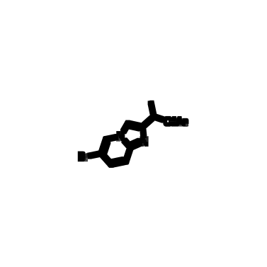 COC(C)c1cn2cc(Br)ccc2n1